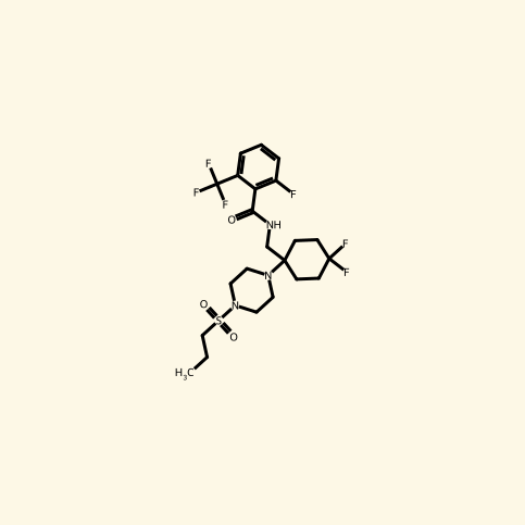 CCCS(=O)(=O)N1CCN(C2(CNC(=O)c3c(F)cccc3C(F)(F)F)CCC(F)(F)CC2)CC1